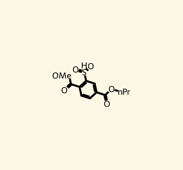 CCCOC(=O)c1ccc(C(=O)OC)c([SH](=O)=O)c1